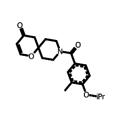 Cc1cc(C(=O)N2CCC3(CC2)CC(=O)C=CO3)ccc1OC(C)C